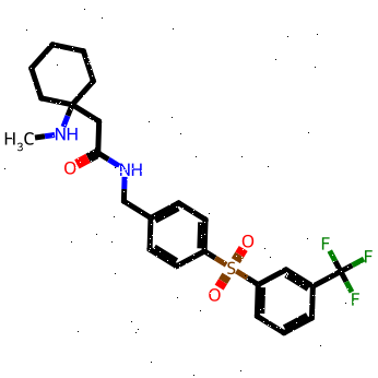 CNC1(CC(=O)NCc2ccc(S(=O)(=O)c3cccc(C(F)(F)F)c3)cc2)CCCCC1